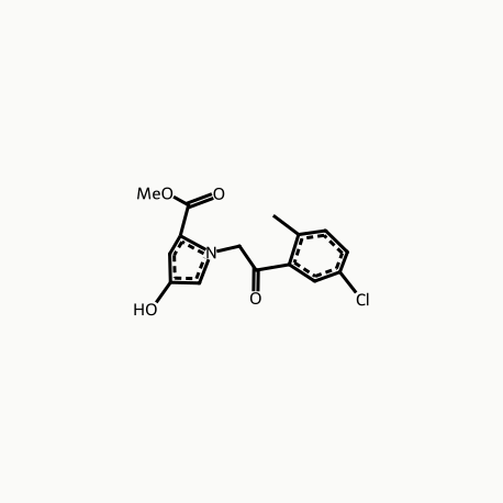 COC(=O)c1cc(O)cn1CC(=O)c1cc(Cl)ccc1C